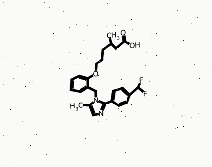 Cc1cnc(-c2ccc(C(F)F)cc2)n1Cc1ccccc1OCCCC(C)CC(=O)O